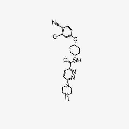 N#Cc1ccc(O[C@H]2CC[C@H](NC(=O)c3ccc(N4CCNCC4)nn3)CC2)cc1Cl